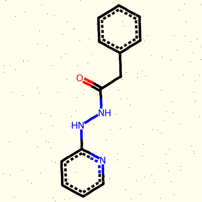 O=C(Cc1ccccc1)NNc1ccccn1